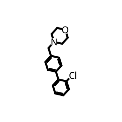 Clc1ccccc1-c1ccc(CN2CCOCC2)cc1